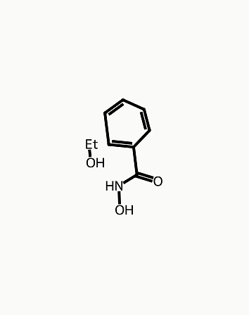 CCO.O=C(NO)c1ccccc1